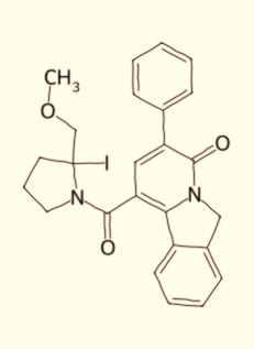 COCC1(I)CCCN1C(=O)c1cc(-c2ccccc2)c(=O)n2c1-c1ccccc1C2